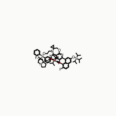 CC(C)[Si](C#Cc1c(F)ccc2cc(O[Si](C(C)C)(C(C)C)C(C)C)cc(-c3nc4c5c(nc(OC[C@@]67CCCN6C[C@H](F)C7)nc5c3F)N(CCO[Si](c3ccccc3)(c3ccccc3)C(C)(C)C)C3(CC3)CO4)c12)(C(C)C)C(C)C